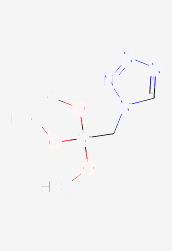 CO[Si](Cn1cnnn1)(OC)OC